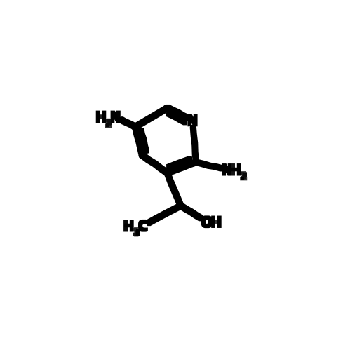 CC(O)c1cc(N)cnc1N